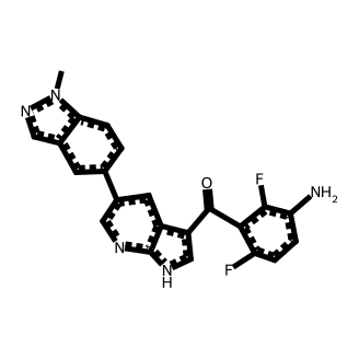 Cn1ncc2cc(-c3cnc4[nH]cc(C(=O)c5c(F)ccc(N)c5F)c4c3)ccc21